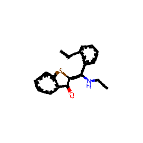 CCN/C(=C1/Sc2ccccc2C1=O)c1ccccc1CC